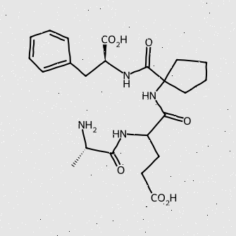 C[C@H](N)C(=O)NC(CCC(=O)O)C(=O)NC1(C(=O)N[C@@H](Cc2ccccc2)C(=O)O)CCCC1